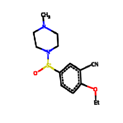 CCOc1ccc([S+]([O-])N2CCN(C)CC2)cc1C#N